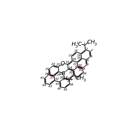 CC(C)c1ccc2ccc3c(C(C)C)c4c(c5ccc1c2c53)Oc1ccccc1B4c1c(-c2ccccc2)cccc1-c1ccccc1